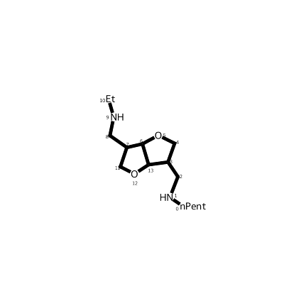 CCCCCNCC1COC2C(CNCC)COC12